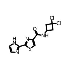 O=C(NC1CC(Cl)(Cl)C1)c1csc(-c2ncc[nH]2)n1